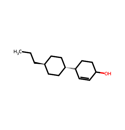 CCC[C@H]1CC[C@H](C2C=CC(O)CC2)CC1